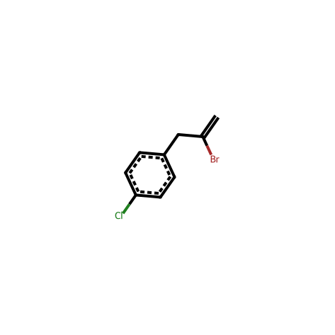 C=C(Br)Cc1ccc(Cl)cc1